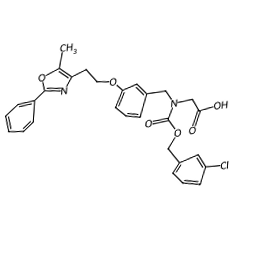 Cc1oc(-c2ccccc2)nc1CCOc1cccc(CN(CC(=O)O)C(=O)OCc2cccc(Cl)c2)c1